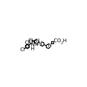 C[C@@H](Nc1nc(N2CCC(C3CCCN(C4CC(C(=O)O)C4)C3)CC2)ncc1Cl)c1ccc(Cl)cc1Cl